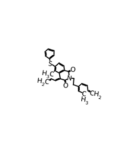 C=C/C=C\C(=C/C)CCN1C(=O)/C(=C/C=C)c2c(ccc(Sc3ccccc3)c2C)C1=O